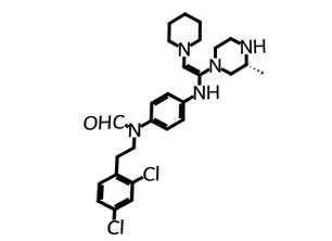 C[C@@H]1CN(/C(=C\N2CCCCC2)Nc2ccc(N(C=O)CCc3ccc(Cl)cc3Cl)cc2)CCN1